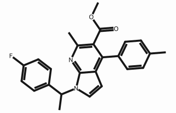 COC(=O)c1c(C)nc2c(ccn2C(C)c2ccc(F)cc2)c1-c1ccc(C)cc1